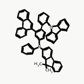 CC1(C)c2ccccc2-c2ccc(N(c3ccccc3)c3ccc(-c4ccccc4-n4c5ccccc5c5ccccc54)c(-c4cc5ccccc5c5ccccc45)c3)cc21